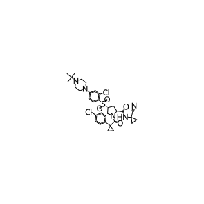 CC(C)(C)N1CCN(c2ccc(S(=O)(=O)[C@@H]3C[C@@H](C(=O)NC4(C#N)CC4)N(C(=O)C4(c5ccc(Cl)cc5)CC4)C3)c(Cl)c2)CC1